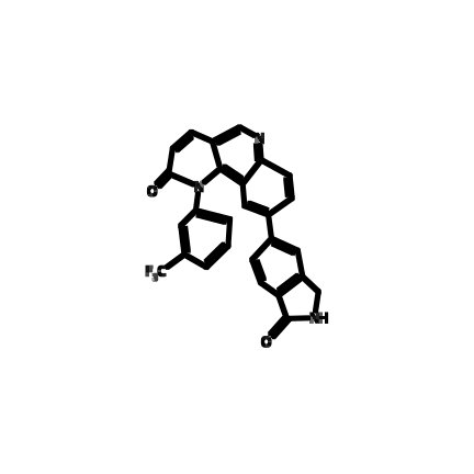 O=C1NCc2cc(-c3ccc4ncc5ccc(=O)n(-c6cccc(C(F)(F)F)c6)c5c4c3)ccc21